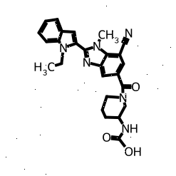 CCn1c(-c2nc3cc(C(=O)N4CCCC(NC(=O)O)C4)cc(C#N)c3n2C)cc2ccccc21